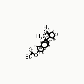 CCC(=O)OC1CC2C3CC(C2C1)C(C)(C1=C(C)CCC1)C3